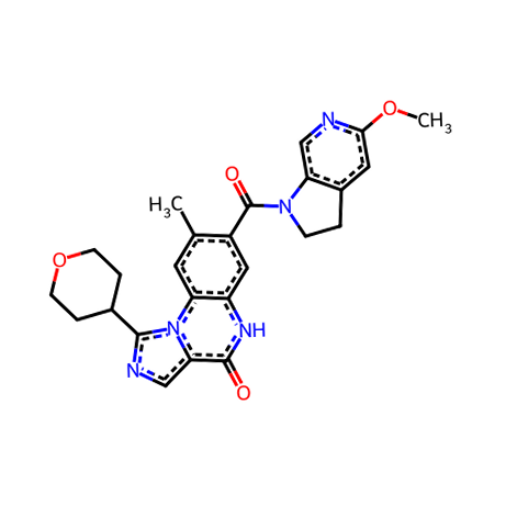 COc1cc2c(cn1)N(C(=O)c1cc3[nH]c(=O)c4cnc(C5CCOCC5)n4c3cc1C)CC2